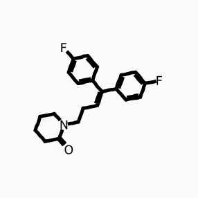 O=C1CCCCN1CCC=C(c1ccc(F)cc1)c1ccc(F)cc1